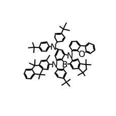 Cc1cc2c(cc1N1c3ccc(C(C)(C)C)cc3B3c4cc5c(cc4N(c4cccc6c4oc4ccccc46)c4cc(N(c6ccc(C(C)(C)C)cc6)C6C=CC(C(C)(C)C)=CC6)cc1c43)C(C)(C)CC5(C)C)C(C)(C)c1ccccc1C2(C)C